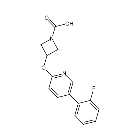 O=C(O)N1CC(Oc2ccc(-c3ccccc3F)cn2)C1